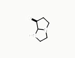 O=C1CCN2CCNC12